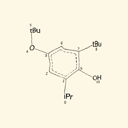 CC(C)c1cc(OC(C)(C)C)cc(C(C)(C)C)c1O